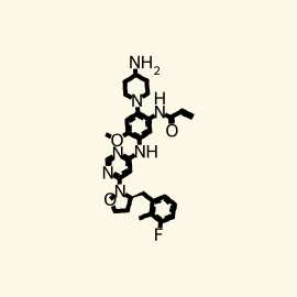 C=CC(=O)Nc1cc(Nc2cc(N3OCC[C@@H]3Cc3cccc(F)c3C)ncn2)c(OC)cc1N1CCC(N)CC1